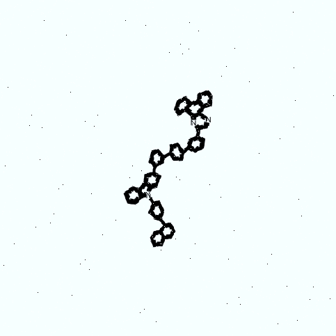 c1cc(-c2ccc(-c3cccc(-c4cnc5c6ccccc6c6ccccc6c5n4)c3)cc2)cc(-c2ccc3c(c2)c2ccccc2n3-c2ccc(-c3cccc4ccccc34)cc2)c1